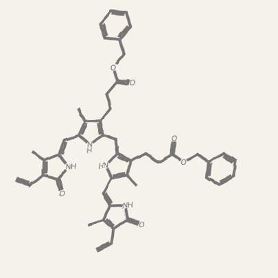 C=CC1=C(C)/C(=C/c2[nH]c(Cc3[nH]c(/C=C4\NC(=O)C(C=C)=C4C)c(C)c3CCC(=O)OCc3ccccc3)c(CCC(=O)OCc3ccccc3)c2C)NC1=O